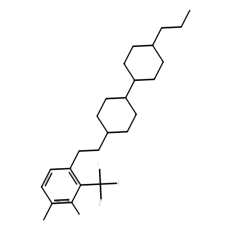 CCCC1CCC(C2CCC(CCc3ccc(C)c(F)c3C(F)(F)F)CC2)CC1